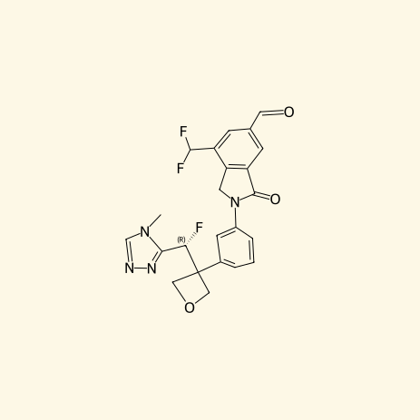 Cn1cnnc1[C@H](F)C1(c2cccc(N3Cc4c(cc(C=O)cc4C(F)F)C3=O)c2)COC1